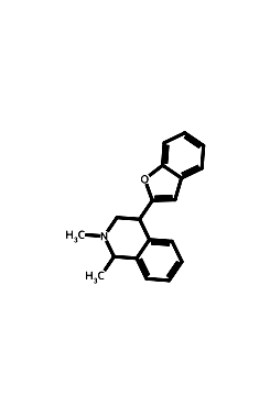 CC1c2ccccc2C(c2cc3ccccc3o2)CN1C